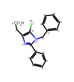 O=C(O)Cc1nc(-c2ccccc2)n(Cc2ccccc2)c1Cl